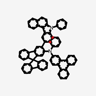 c1ccc(N(c2ccc3c4ccccc4c4ccccc4c3c2)c2cc3c(cc2-c2ccc4c(c2)c2c5ccccc5ccc2n4-c2ccccc2)-c2ccccc2C32c3ccccc3-c3ccccc32)cc1